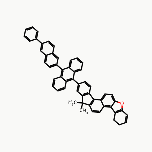 CC1(C)c2cc(-c3c4ccccc4c(-c4ccc5cc(-c6ccccc6)ccc5c4)c4ccccc34)ccc2-c2c1ccc1c2ccc2oc3c(c21)CCC=C3